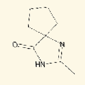 CC1=NC2(CCCC2)C(=O)N1